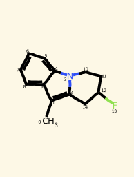 Cc1c2n(c3ccccc13)CCC(F)C2